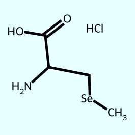 C[Se]CC(N)C(=O)O.Cl